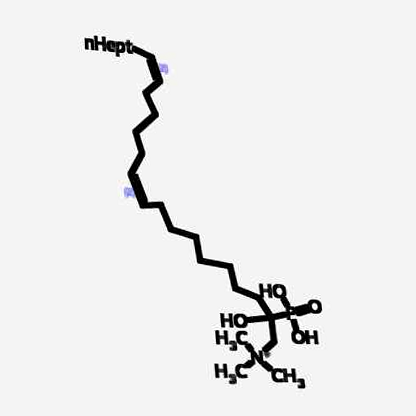 CCCCCCC/C=C\CCCC/C=C\CCCCCCCC(O)(C[N+](C)(C)C)P(=O)(O)O